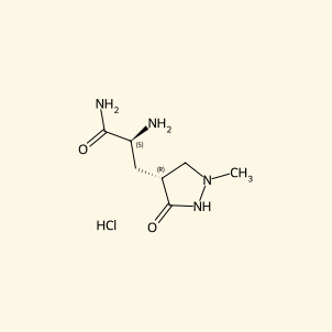 CN1C[C@@H](C[C@H](N)C(N)=O)C(=O)N1.Cl